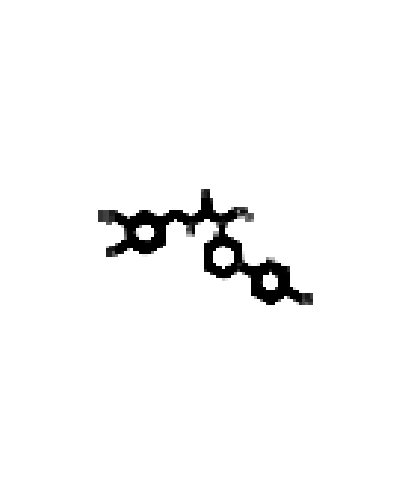 Cc1cc(CNC(=O)N(C)[C@@H]2CCCN(c3ccc(C#N)nn3)C2)ccc1Cl